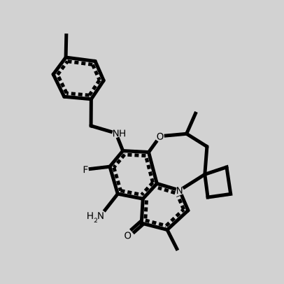 Cc1ccc(CNc2c(F)c(N)c3c(=O)c(C)cn4c3c2OC(C)CC42CCC2)cc1